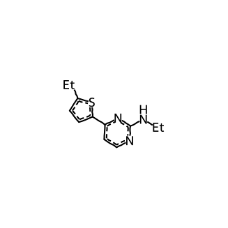 CCNc1nccc(-c2ccc(CC)s2)n1